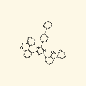 c1ccc(-c2ccc(-c3nc(-c4cccc5c4-c4ccccc4CO5)nc(-c4cccc5c4oc4ccccc45)n3)cc2)cc1